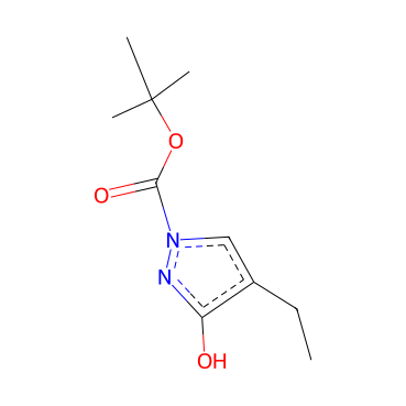 CCc1cn(C(=O)OC(C)(C)C)nc1O